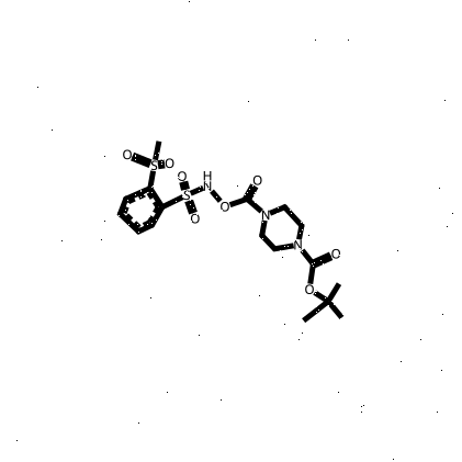 CC(C)(C)OC(=O)N1CCN(C(=O)ONS(=O)(=O)c2ccccc2S(C)(=O)=O)CC1